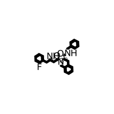 N[C@@H](CC(=O)N1Cc2ccccc2C[C@H]1C(=O)NCc1ccccc1)Cc1ccccc1F